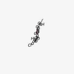 CCCCCC(=O)NCCC(=O)OCN1C=C2C(=O)N(C3CCN(C(=O)[C@H](O)CS(=O)(=O)c4ccc5cc(Cl)ccc5c4)CC3)CN2C1